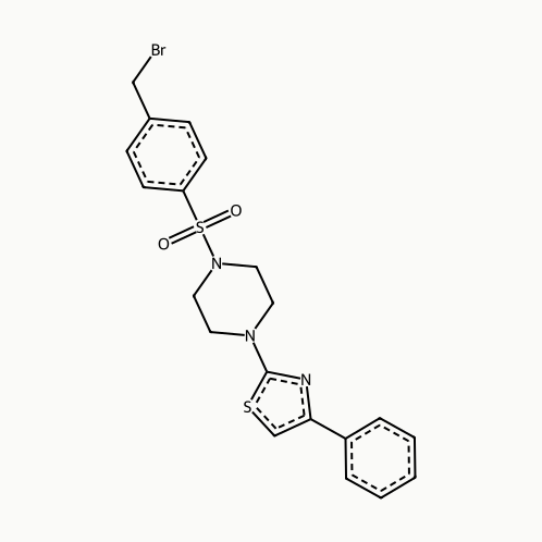 O=S(=O)(c1ccc(CBr)cc1)N1CCN(c2nc(-c3ccccc3)cs2)CC1